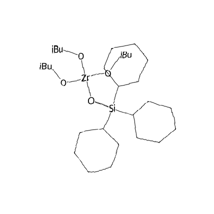 CCC(C)[O][Zr]([O]C(C)CC)([O]C(C)CC)[O][Si](C1CCCCC1)(C1CCCCC1)C1CCCCC1